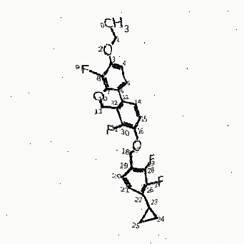 CCOc1ccc2c(c1F)OCc1c-2ccc(OCc2ccc(C3CC3)c(F)c2F)c1F